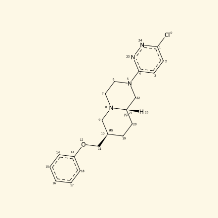 Clc1ccc(N2CCN3C[C@H](COc4ccccc4)CC[C@H]3C2)nn1